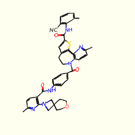 Cc1ccc2c(n1)-c1sc(C(=O)Nc3c(C)cccc3C#N)cc1CCN2C(=O)c1ccc(NC(=O)c2ccc(C)nc2N2CC3(CCOCC3)C2)cc1